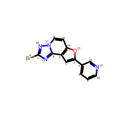 Brc1nc2c3cc(-c4cccnc4)oc3ccn2n1